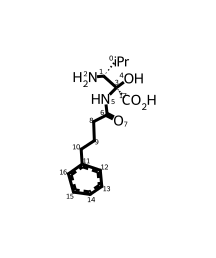 CC(C)[C@@H](N)[C@@](O)(NC(=O)CCCc1ccccc1)C(=O)O